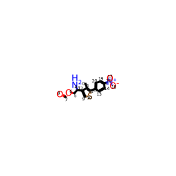 Cc1c(C(N)COC=O)csc1-c1ccc([N+](=O)[O-])cc1